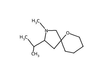 CC(C)C1CC2(CCCCO2)CN1C